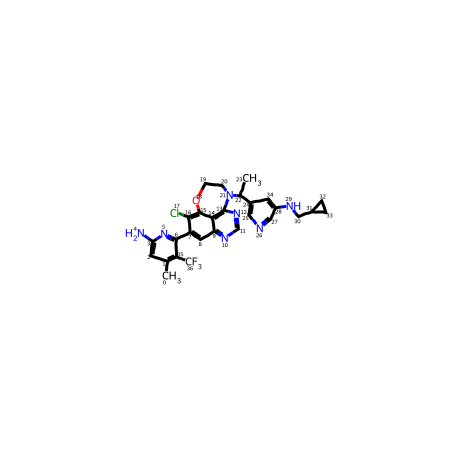 Cc1cc(N)nc(-c2cc3ncnc4c3c(c2Cl)OCCN4C(C)c2cncc(NCC3CC3)c2)c1C(F)(F)F